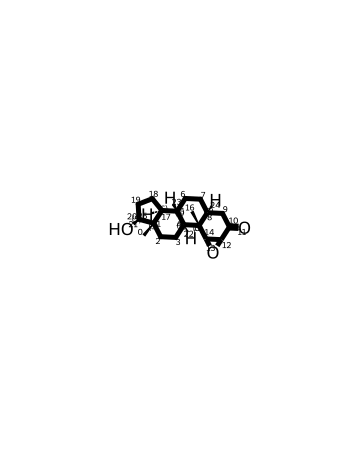 C[C@]12CC[C@H]3[C@@H](CC[C@H]4CC(=O)C5OC5[C@@]43C)[C@@H]1CC[C@@H]2O